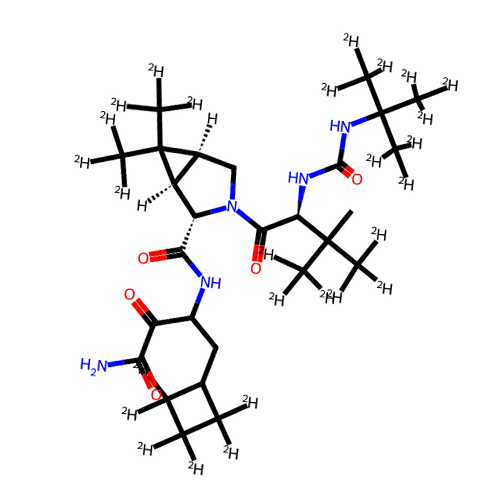 [2H]C([2H])([2H])C(C)([C@H](NC(=O)NC(C([2H])([2H])[2H])(C([2H])([2H])[2H])C([2H])([2H])[2H])C(=O)N1C[C@H]2[C@@H]([C@H]1C(=O)NC(CC1C([2H])([2H])C([2H])([2H])C1([2H])[2H])C(=O)C(N)=O)C2(C([2H])([2H])[2H])C([2H])([2H])[2H])C([2H])([2H])[2H]